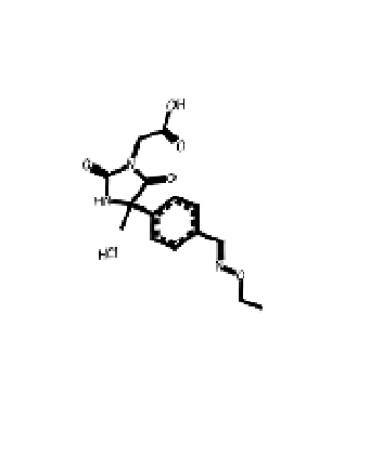 CCON=Cc1ccc(C2(C)NC(=O)N(CC(=O)O)C2=O)cc1.Cl